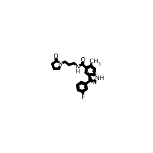 Cc1cc2[nH]nc(-c3cccc(F)c3)c2cc1C(=O)NCCCN1CCCC1=O